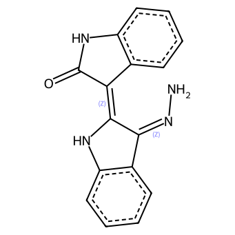 N/N=C1\C(=C2\C(=O)Nc3ccccc32)Nc2ccccc21